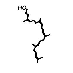 CC(C)=CCCC(C)=CCCC(C)=CCCC=C(C)CCC=C(C)CCCO